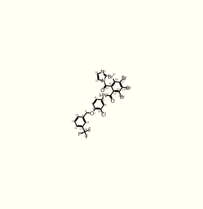 O=C(Nc1ccc(OCc2cccc(C(F)(F)F)c2)c(Cl)c1)c1c(Br)c(Br)c(Br)c(Br)c1C(=O)n1ccnc1